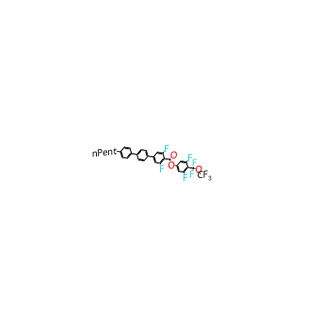 CCCCCc1ccc(-c2ccc(-c3cc(F)c(C(=O)Oc4cc(F)c(C(F)(F)OC(F)(F)F)c(F)c4)c(F)c3)cc2)cc1